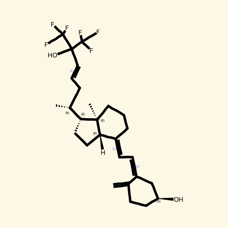 C=C1CC[C@H](O)C/C1=C/C=C1\CCC[C@]2(C)[C@@H]([C@H](C)C/C=C/C(O)(C(F)(F)F)C(F)(F)F)CC[C@@H]12